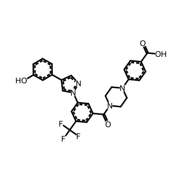 O=C(O)c1ccc(N2CCN(C(=O)c3cc(-n4cc(-c5cccc(O)c5)cn4)cc(C(F)(F)F)c3)CC2)cc1